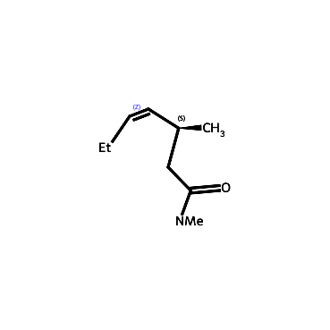 CC/C=C\[C@@H](C)CC(=O)NC